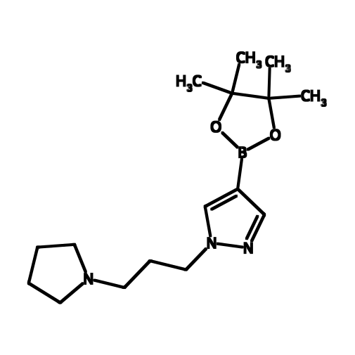 CC1(C)OB(c2cnn(CCCN3CCCC3)c2)OC1(C)C